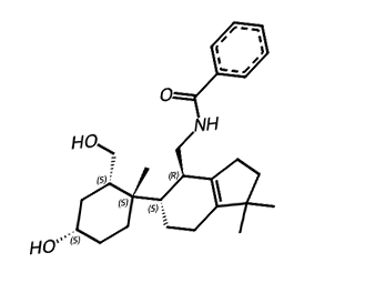 CC1(C)CCC2=C1CC[C@H]([C@]1(C)CC[C@H](O)C[C@@H]1CO)[C@H]2CNC(=O)c1ccccc1